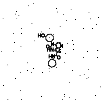 O=C(NC1CCCCCCC1)c1sc2nccc3c2c1NC(=O)N3C1CCCCC(O)CC1